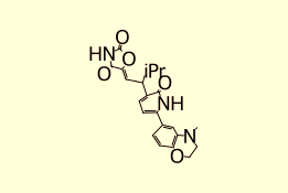 CC(C)C(/C=C1\OC(=O)NC1=O)c1ccc(-c2ccc3c(c2)N(C)CCO3)[nH]c1=O